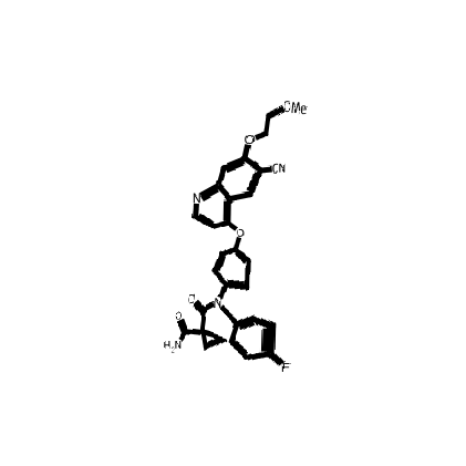 COCCOc1cc2nccc(Oc3ccc(N(C(=O)C4(C(N)=O)CC4)c4ccc(F)cc4)cc3)c2cc1C#N